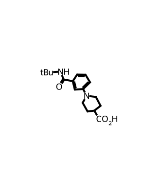 CC(C)(C)NC(=O)c1cccc(N2CCC(C(=O)O)CC2)c1